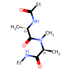 CCNC(=O)[C@H](C)N(C)C(=O)[C@H](C)NC(=O)CC